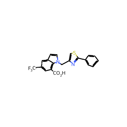 O=C(O)c1cc(C(F)(F)F)cc2ccn(Cc3csc(-c4ccccc4)n3)c12